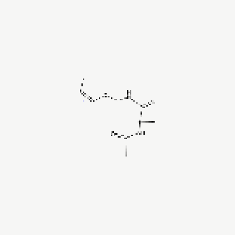 C=C(NCO/C=C\C)C(C)(C)NC(C)=O